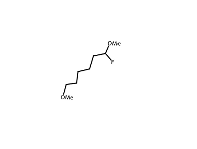 COCCCCCC(F)OC